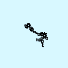 CCCCOC(O)OCN1C(=O)CC(C)(C)c2ccc(OCCCCN3CCN(c4cccc5sccc45)CC3)cc21